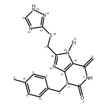 C=C1NC(=O)N(Cc2ccc(C)cc2)c2nc(CSc3nc[nH]n3)n(CC)c21